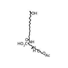 C=C(O)CCCCCCCCCCCCCCC(=O)N[C@@H](CCC(=C)NCCOCCOCC(C)=O)C(=O)O